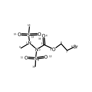 CN(N(C(=O)OCCBr)S(C)(=O)=O)S(C)(=O)=O